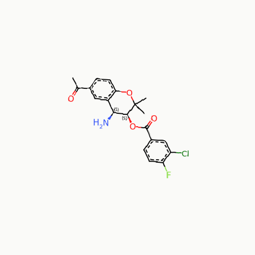 CC(=O)c1ccc2c(c1)[C@H](N)[C@H](OC(=O)c1ccc(F)c(Cl)c1)C(C)(C)O2